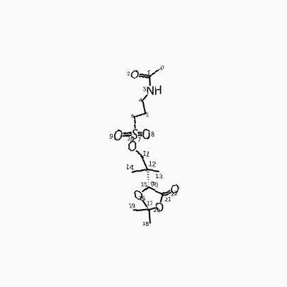 CC(=O)NCCCS(=O)(=O)OCC(C)(C)[C@H]1OC(C)(C)OC1=O